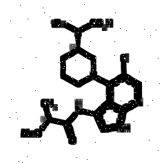 CO[C@@H](C)C(=O)Nc1c[nH]c2ncc(Cl)c(N3CCC[C@@H](N(C(=O)O)C(C)(C)C)C3)c12